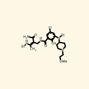 CCN/C(C)=C(/CNC(=O)c1cc(Cl)cc(N(CC)C2CCN(CCOC)CC2)c1C)C(N)=O